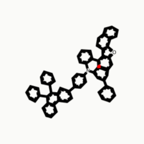 c1ccc(-c2cccc(N(c3ccc(-c4ccc5c(c4)c(-c4ccccc4)c(-c4ccccc4)c4ccccc45)cc3)c3ccccc3-c3cccc4oc5c6ccccc6ccc5c34)c2)cc1